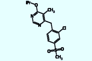 Cc1c(Cc2ccc(S(C)(=O)=O)cc2Cl)ncnc1OC(C)C